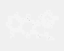 CC(=O)c1ncc(Nc2cccc(C)c2F)c2c1C1CCC2CC1